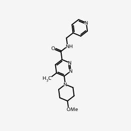 COC1CCN(c2nnc(C(=O)NCc3ccncc3)cc2C)CC1